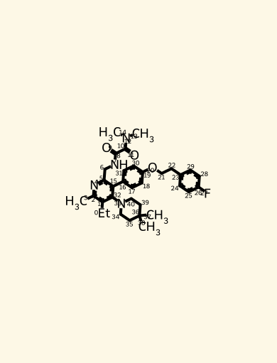 CCc1c(C)nc(CNC(=O)C(=O)N(C)C)c(-c2ccc(OCCc3ccc(F)cc3)cc2)c1N1CCC(C)(C)CC1